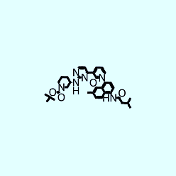 Cc1ccc2c(NC(=O)CC(C)C)cccc2c1Oc1ncccc1-c1ccnc(N[C@H]2CCCN(C(=O)OC(C)(C)C)C2)n1